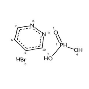 Br.O=[PH](O)O.c1ccnnc1